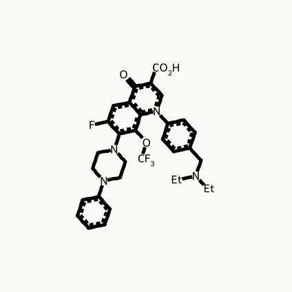 CCN(CC)Cc1ccc(-n2cc(C(=O)O)c(=O)c3cc(F)c(N4CCN(c5ccccc5)CC4)c(OC(F)(F)F)c32)cc1